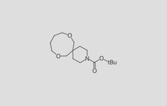 CC(C)(C)OC(=O)N1CCC2(CC1)COCCCCOC2